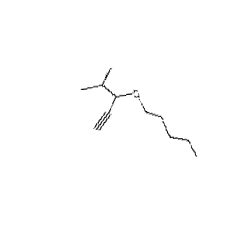 C#CC(OCCCCC)C(C)C